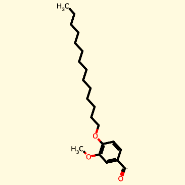 CCCCCCCCCCCCCCOc1ccc([C]=O)cc1OC